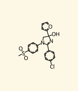 CS(=O)(=O)c1ccc(N2CC(O)(c3ccco3)N=C2c2ccc(Cl)cc2)cc1